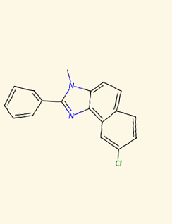 Cn1c(-c2ccccc2)nc2c3cc(Cl)ccc3ccc21